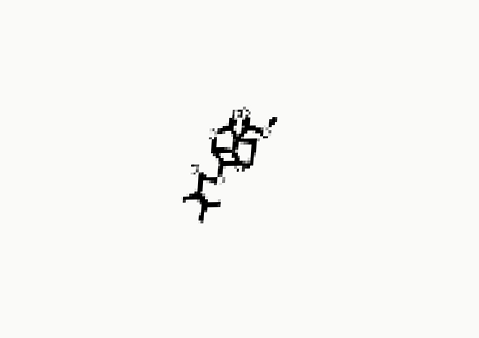 COC(=O)C12CC3OC1C(OC2=O)C3OC(=O)C(C)=C(C)C